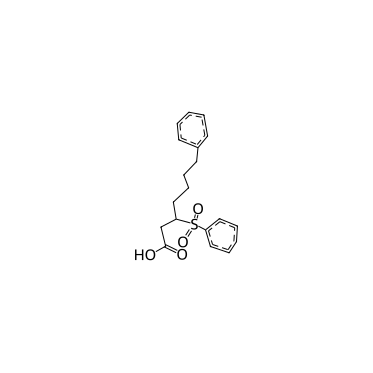 O=C(O)CC(CCCCc1ccccc1)S(=O)(=O)c1ccccc1